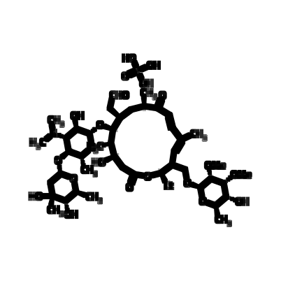 CC[C@H]1OC(=O)C[C@@H](O)[C@H](C)[C@@H](O[C@@H]2O[C@H](C)[C@@H](O[C@H]3C[C@@](C)(O)[C@@H](O)[C@H](C)O3)[C@H](N(C)C)[C@H]2O)[C@@H](CC=O)C[C@@H](C)C(=O)/C=C/C(C)=C/C1CO[C@@H]1O[C@H](C)[C@@H](O)[C@@H](OC)[C@H]1OC.O=P(O)(O)O